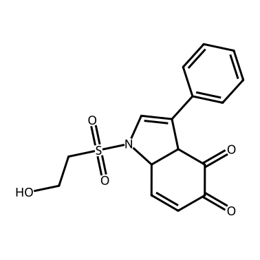 O=C1C=CC2C(C1=O)C(c1ccccc1)=CN2S(=O)(=O)CCO